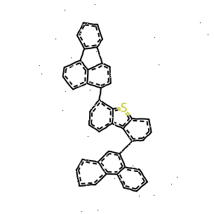 c1ccc2c(c1)-c1cccc3c(-c4cccc5c4sc4cccc(-c6cc7ccccc7c7ccccc67)c45)ccc-2c13